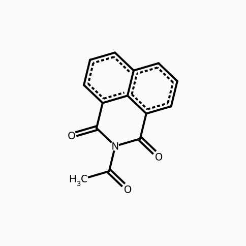 CC(=O)N1C(=O)c2cccc3cccc(c23)C1=O